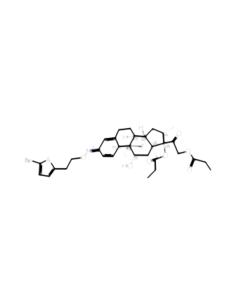 CCC(=O)OCC(=O)[C@@]1(OC(=O)CC)[C@@H](C)C[C@H]2[C@@H]3CCC4=C/C(=N/OCCc5ccc(Br)s5)C=C[C@]4(C)[C@@]3(F)[C@@H](O)C[C@@]21C